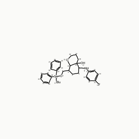 CC(C)(C)[Si](OCC1CCC(Nc2ccc(F)cc2)C2(O)CCCOC12)(c1ccccc1)c1ccccc1